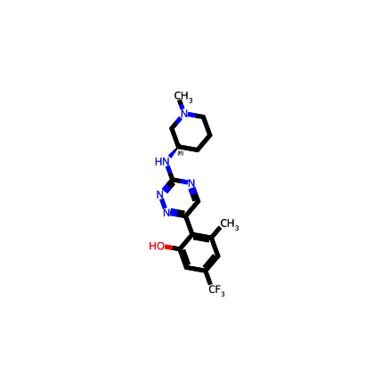 Cc1cc(C(F)(F)F)cc(O)c1-c1cnc(N[C@@H]2CCCN(C)C2)nn1